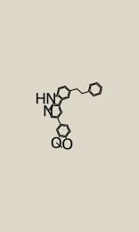 c1ccc(CCc2ccc3[nH]c4ncc(-c5ccc6c(c5)OCO6)cc4c3c2)cc1